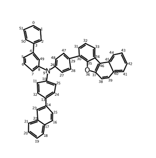 c1ccc(-c2cccc(N(c3ccc(-c4ccc5ccccc5c4)cc3)c3ccc(-c4cccc5c4oc4ccc6ccccc6c45)cc3)c2)cc1